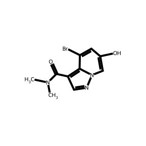 CN(C)C(=O)c1cnn2cc(O)cc(Br)c12